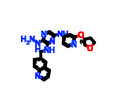 NNc1ncc(Nc2ccnc(O[C@H]3CCOC3)c2)nc1NCc1ccc2ncccc2c1